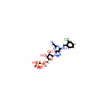 N#Cc1nc(NCc2ccccc2Cl)c2nnn([C@@H]3O[C@H](COP(=O)(O)CP(=O)(O)O)[C@@H](O)[C@H]3O)c2n1